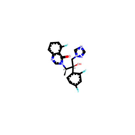 C[C@@H](n1cnc2cccc(F)c2c1=O)[C@](O)(Cn1cncn1)c1ccc(F)cc1F